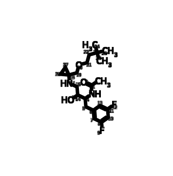 CC(=O)NC(Cc1cc(F)cc(F)c1)C(O)CNC1(COCCC(C)(C)C)CC1